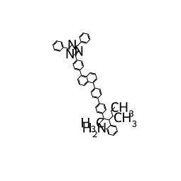 CCC(C)C(c1ccccc1N)C(C)c1ccc(-c2ccc(-c3cccc4c(-c5ccc(-c6nc(-c7ccccc7)nc(-c7ccccc7)n6)cc5)cccc34)cc2)cc1